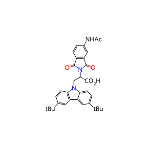 CC(=O)Nc1ccc2c(c1)C(=O)N(C(Cn1c3ccc(C(C)(C)C)cc3c3cc(C(C)(C)C)ccc31)C(=O)O)C2=O